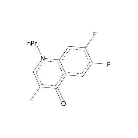 CCCn1cc(C)c(=O)c2cc(F)c(F)cc21